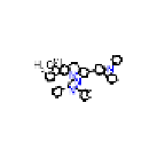 CC1(C)c2ccccc2-c2cc3c(cc21)C=Cc1cc(-c2ccc4c(c2)c2ccccc2n4-c2ccccc2)ccc1N3c1cc(-c2ccccc2)nc(-c2ccccc2)n1